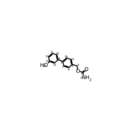 NC(=O)OCc1ccc(-c2cccc(O)c2)cc1